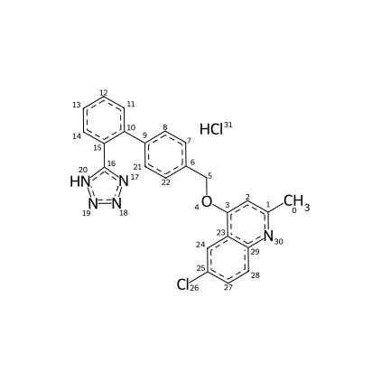 Cc1cc(OCc2ccc(-c3ccccc3-c3nnn[nH]3)cc2)c2cc(Cl)ccc2n1.Cl